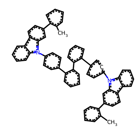 Cc1ccccc1-c1ccc2c3ccccc3n(-c3ccc(-c4ccccc4-c4ccccc4-c4ccc(-n5c6ccccc6c6ccc(-c7ccccc7C)cc65)cc4)cc3)c2c1